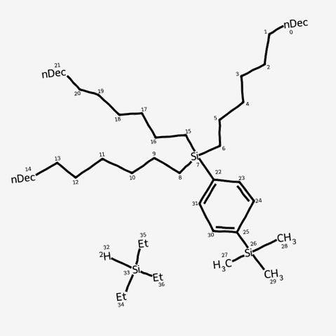 CCCCCCCCCCCCCCCC[Si](CCCCCCCCCCCCCCCC)(CCCCCCCCCCCCCCCC)c1ccc([Si](C)(C)C)cc1.[2H][Si](CC)(CC)CC